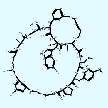 COc1ccc(C[C@@H]2NC(=O)[C@H]([C@@H](C)OC)NC(=O)[C@@H]3CC/C=C/COc4cccc(c4)C[C@H](NC(=O)[C@@H](C)NC(=O)[C@H](C)NC(=O)CC[S+]([O-])Cc4cc(F)cc(c4)CSCCNC(=O)[C@]4(C)CCCN4C2=O)C(=O)N[C@@H](Cc2c[nH]c4ccc(F)cc24)C(=O)N3C)cc1